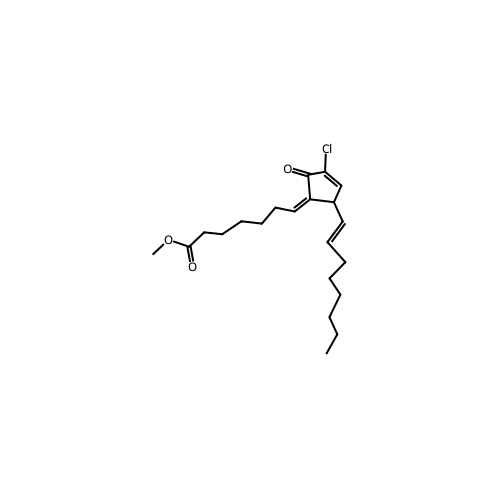 CCCCCCC=CC1C=C(Cl)C(=O)C1=CCCCCCC(=O)OC